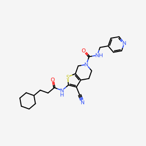 N#Cc1c(NC(=O)CCC2CCCCC2)sc2c1CCN(C(=O)NCc1ccncc1)C2